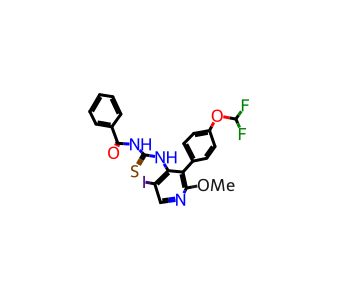 COc1ncc(I)c(NC(=S)NC(=O)c2ccccc2)c1-c1ccc(OC(F)F)cc1